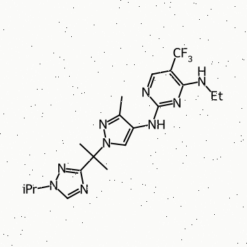 CCNc1nc(Nc2cn(C(C)(C)c3ncn(C(C)C)n3)nc2C)ncc1C(F)(F)F